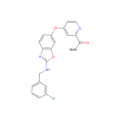 CNC(=O)c1cc(Oc2ccc3nc(NCc4cccc(Cl)c4)oc3c2)ccn1